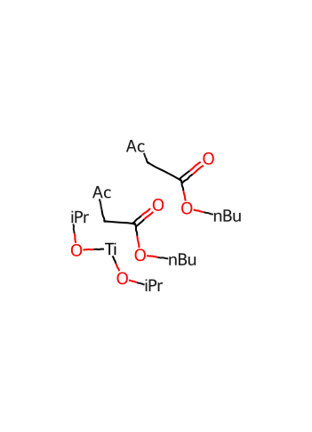 CC(C)[O][Ti][O]C(C)C.CCCCOC(=O)CC(C)=O.CCCCOC(=O)CC(C)=O